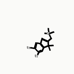 CCc1cc2c(cc1CC)C(C)(C)C(C[Si](C)(C)C)=C2